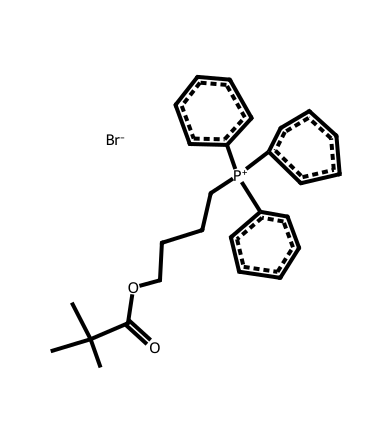 CC(C)(C)C(=O)OCCCC[P+](c1ccccc1)(c1ccccc1)c1ccccc1.[Br-]